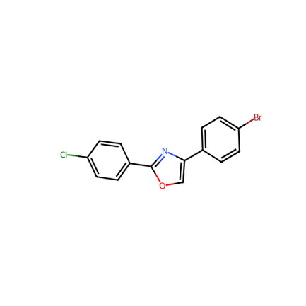 Clc1ccc(-c2nc(-c3ccc(Br)cc3)co2)cc1